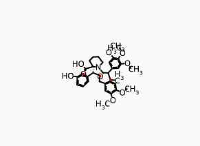 CCC(C(=O)N1CCCC[C@@]1(C(=O)O)C(CCc1ccc(OC)c(OC)c1)c1cccc(O)c1)c1cc(OC)c(OC)c(OC)c1